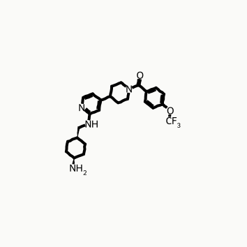 N[C@H]1CC[C@@H](CNc2cc(C3CCN(C(=O)c4ccc(OC(F)(F)F)cc4)CC3)ccn2)CC1